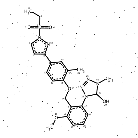 CCS(=O)(=O)n1ccc(-c2ccc(OCc3c(OC)cccc3N3N=NN(C)C3O)c(C)c2)n1